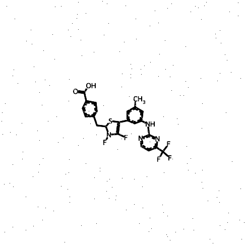 Cc1cc(Nc2nccc(C(F)(F)F)n2)cc(C2=C(F)N(F)C(Cc3ccc(C(=O)O)cc3)S2)c1